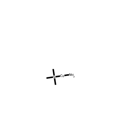 C[Si](C)(C)[Co][NH2]